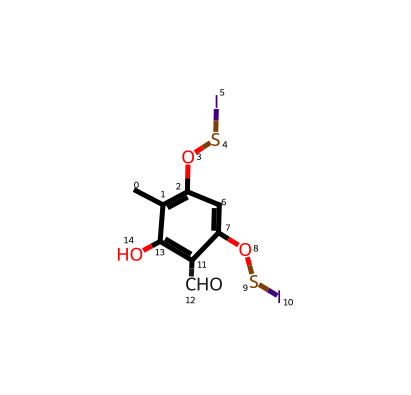 Cc1c(OSI)cc(OSI)c(C=O)c1O